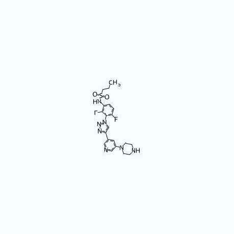 CCCS(=O)(=O)Nc1ccc(F)c(-n2cc(-c3cncc(N4CCNCC4)c3)nn2)c1F